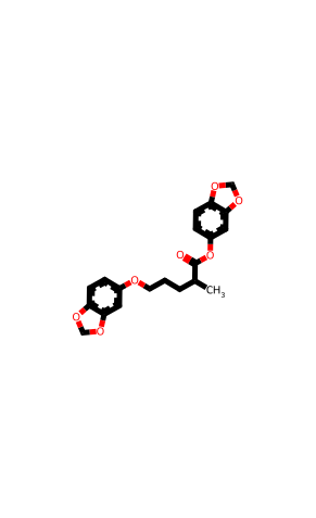 CC(CCCOc1ccc2c(c1)OCO2)C(=O)Oc1ccc2c(c1)OCO2